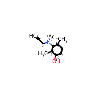 C#CCN(C(C)=O)c1c(C)ccc(O)c1C